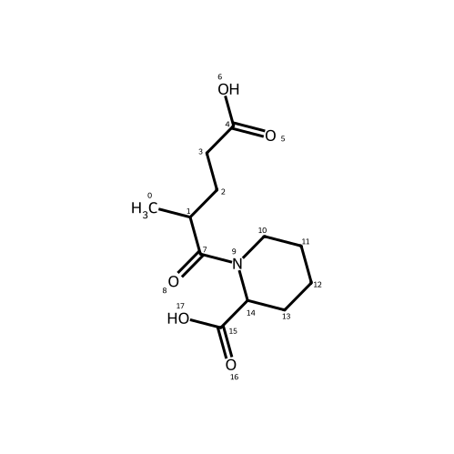 CC(CCC(=O)O)C(=O)N1CCCCC1C(=O)O